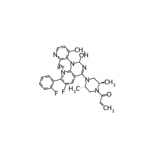 C=CC(=O)N1C[C@H](C)N(C2=NC(O)N(c3c(C)ccnc3C(C)C)c3nc(-c4ccccc4F)c(F)cc32)C[C@H]1C